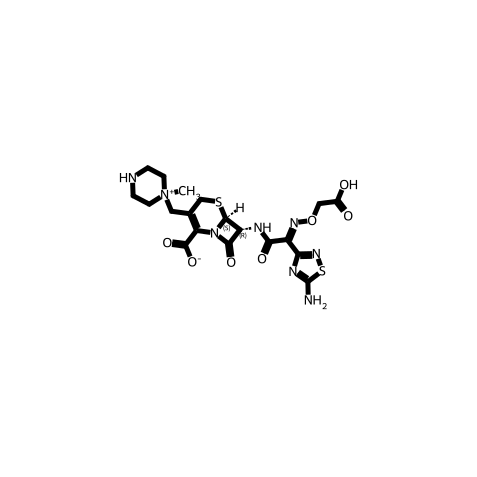 C[N+]1(CC2=C(C(=O)[O-])N3C(=O)[C@@H](NC(=O)C(=NOCC(=O)O)c4nsc(N)n4)[C@@H]3SC2)CCNCC1